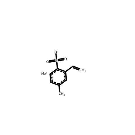 C=Cc1cc(C)ccc1S(=O)(=O)[O-].[Na+]